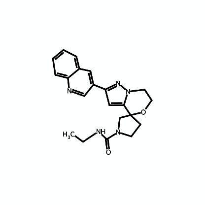 CCNC(=O)N1CCC2(C1)OCCn1nc(-c3cnc4ccccc4c3)cc12